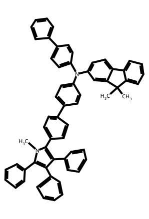 Cn1c(-c2ccccc2)c(-c2ccccc2)c(-c2ccccc2)c1-c1ccc(-c2ccc(N(c3ccc(-c4ccccc4)cc3)c3ccc4c(c3)C(C)(C)c3ccccc3-4)cc2)cc1